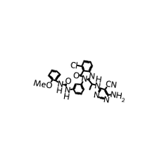 COc1ccccc1NC(=O)Nc1cccc(-n2c(C(C)Nc3ncnc(N)c3C#N)nc3cccc(Cl)c3c2=O)c1